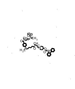 CN(CCN1CCC(OC(=O)Nc2ccccc2-c2ccccc2)CC1)C(=O)CCCCN(C)c1ccc(C(=O)N(C)CCCN(C)C(=O)OC(C)(C)C)cc1